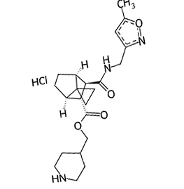 Cc1cc(CNC(=O)[C@H]2[C@H](C(=O)OCC3CCNCC3)[C@H]3CC[C@@H]2C32CC2)no1.Cl